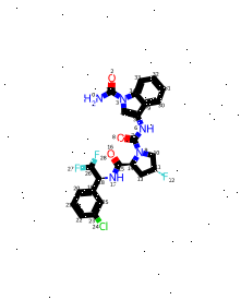 NC(=O)n1cc(NC(=O)N2C[C@H](F)C[C@H]2C(=O)N[C@H](c2cccc(Cl)c2)C(F)F)c2ccccc21